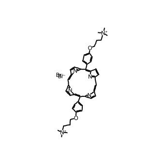 C[N+](C)(C)CCCOc1ccc(C2=C3C=CC(=N3)C=C3C=CC(=N3)C(c3ccc(OCCC[N+](C)(C)C)cc3)=C3C=CC(=N3)C=C3C=CC2=N3)cc1.[Br-].[Br-]